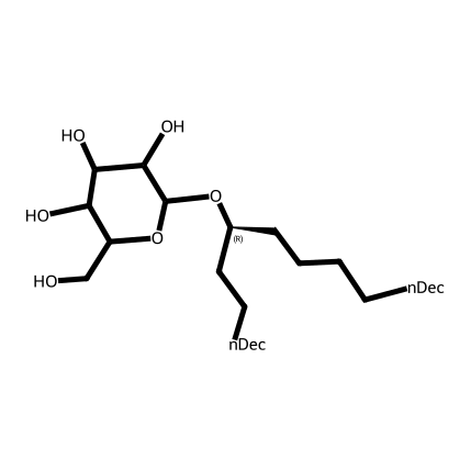 CCCCCCCCCCCCCC[C@@H](CCCCCCCCCCCC)OC1OC(CO)C(O)C(O)C1O